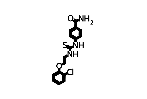 NC(=O)c1ccc(NC(=S)NCCOc2ccccc2Cl)cc1